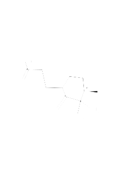 CC(=O)CCC1CC[C@@H](C)C(C)(C)C1=O